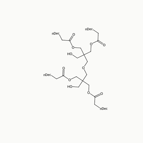 CCCCCCCCCCCC(=O)OCC(CO)(COCC(CO)(COC(=O)CCCCCCCCCCC)COC(=O)CCCCCCCCCCC)COC(=O)CCCCCCCCCCC